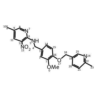 COc1cc(CNc2ncc(I)cc2[N+](=O)[O-])ccc1OCc1ccc(C)nc1